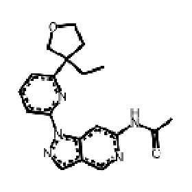 CCC1(c2cccc(-n3ncc4cnc(NC(C)=O)cc43)n2)CCOC1